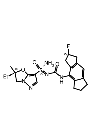 CC[C@]1(C)Cn2ncc([S@@](N)(=O)=NC(=O)Nc3c4c(cc5c3C[C@@H](F)C5)CCC4)c2O1